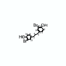 Oc1ccc(CCCc2ccc(O)c(Br)c2)cc1Br